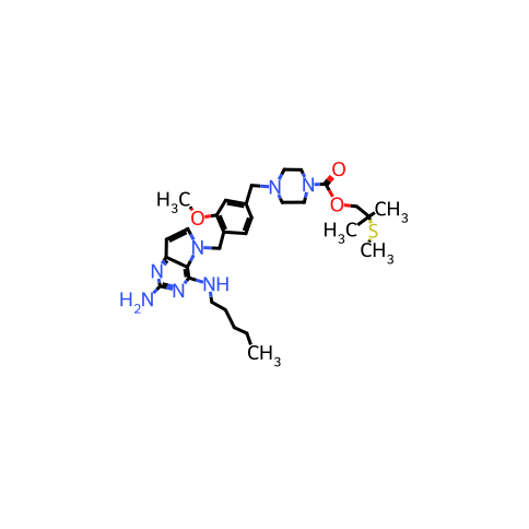 CCCCCNc1nc(N)nc2ccn(Cc3ccc(CN4CCN(C(=O)OCC(C)(C)SC)CC4)cc3OC)c12